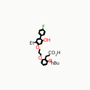 CCCCOc1cccc(OCCCOc2cc(O)c(-c3ccc(F)cc3)cc2CC)c1CCC(=O)O